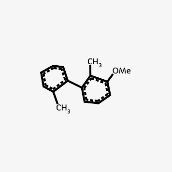 COc1cccc(-c2ccccc2C)c1C